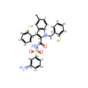 Cc1ccc2c(c1)c(-c1ccccc1F)c(C(=O)NS(=O)(=O)c1cccc(N)c1)n2Cc1ccccc1F